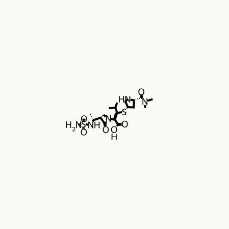 CC(C)/C(S[C@@H]1CN[C@H](C(=O)N(C)C)C1)=C(/C(=O)O)N1C[C@@H]([C@@H](C)NS(N)(=O)=O)C1=O